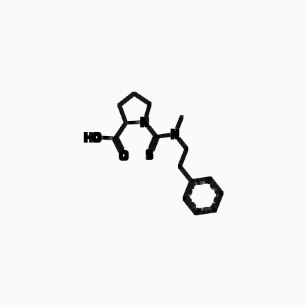 CN(CCc1ccccc1)C(=S)N1CCCC1C(=O)O